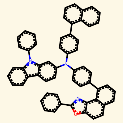 c1ccc(-c2nc3c(ccc4cccc(-c5ccc(N(c6ccc(-c7cccc8ccccc78)cc6)c6ccc7c8ccccc8n(-c8ccccc8)c7c6)cc5)c43)o2)cc1